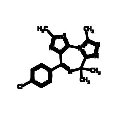 Cc1nc2c(s1)-n1c(C)nnc1C(C)(C)N=C2c1ccc(Cl)cc1